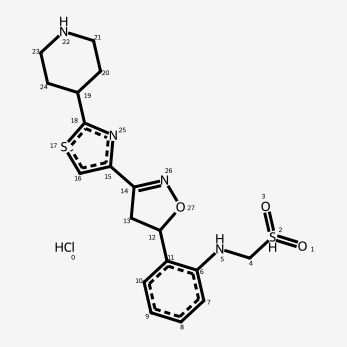 Cl.O=[SH](=O)CNc1ccccc1C1CC(c2csc(C3CCNCC3)n2)=NO1